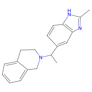 Cc1nc2cc(C(C)N3CCc4ccccc4C3)ccc2[nH]1